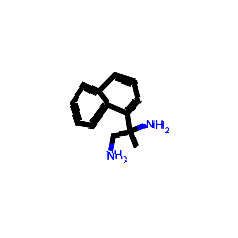 CC(N)(CN)c1cccc2ccccc12